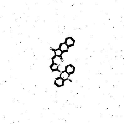 CN1c2ccccc2N(c2ccc(C=C3C(=O)c4cc5ccccc5cc4C3=O)[se]2)c2ncccc21